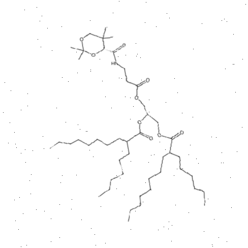 CCCCCCCCC(CCCCCC)C(=O)OCC(COC(=O)CCNC(=O)[C@@H]1OC(C)(C)OCC1(C)C)OC(=O)C(CCCCCC)CCCCCCCC